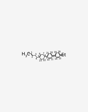 CC=CCCC1=CCC(c2ccc(-c3ccc(CC)cc3)cc2)CC1